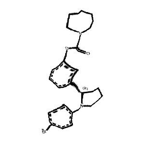 O=C(Oc1cccc([C@H]2CCCN2c2ccc(Br)cc2)c1)N1CCCCC1